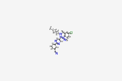 C=C(NC1CC2(CC(CC)C2)C1)c1cc(Cl)cc2cnn(Cc3cnc(-c4cccc(C#N)c4)nc3)c12